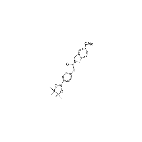 COc1ccc2c(c1)CN(C(=O)Oc1ccc(B3OC(C)(C)C(C)(C)O3)cc1)C2